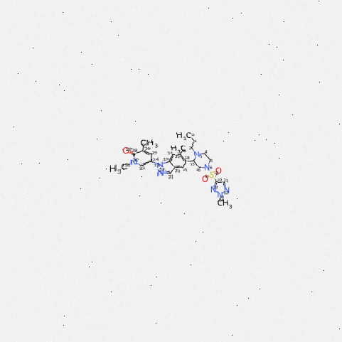 CCCN1CCN(S(=O)(=O)c2cnn(C)n2)CC1c1cc2cnn(-c3cc(C)c(=O)n(C)c3)c2cc1C